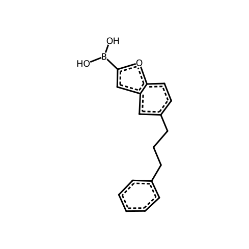 OB(O)c1cc2cc(CCCc3ccccc3)ccc2o1